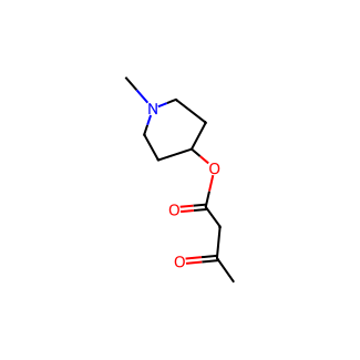 CC(=O)CC(=O)OC1CCN(C)CC1